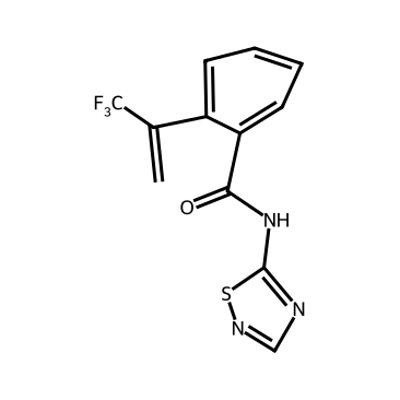 C=C(c1ccccc1C(=O)Nc1ncns1)C(F)(F)F